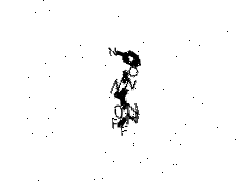 N#Cc1cccc(OCc2ncc(-c3nnc(C(F)F)o3)cn2)c1